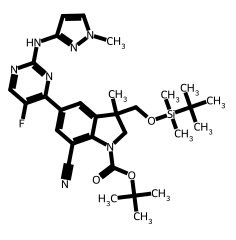 Cn1ccc(Nc2ncc(F)c(-c3cc(C#N)c4c(c3)C(C)(CO[Si](C)(C)C(C)(C)C)CN4C(=O)OC(C)(C)C)n2)n1